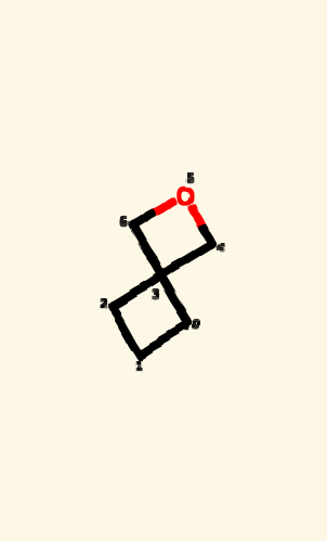 [CH]1CCC12COC2